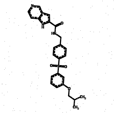 CC(C)COc1cccc(S(=O)(=O)c2ccc(CNC(=O)c3cc4cnccc4[nH]3)cc2)c1